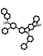 c1ccc(-c2cccc(-n3c4ccc(-c5ccc(Nc6ccc7ccccc7c6)c(-c6ccccc6)c5)cc4c4cc5c(cc43)[nH]c3ccccc35)c2)cc1